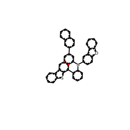 c1cc(-c2ccc3ccccc3c2)cc(N(c2ccc3oc4ccccc4c3c2)c2ccccc2-c2cccc3c2sc2ccccc23)c1